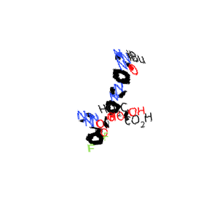 CC[C@H](C)n1ncn(-c2ccc(N3CCN(c4ccc(OC[C@H]5CO[C@](Cn6cncn6)(c6ccc(F)cc6F)O5)cc4)CC3)cc2)c1=O.O=C(O)C(O)C(O)C(=O)O